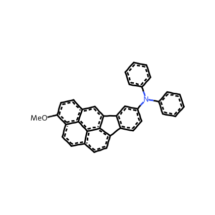 COc1ccc2cc3c4c(ccc5ccc1c2c54)-c1ccc(N(c2ccccc2)c2ccccc2)cc1-3